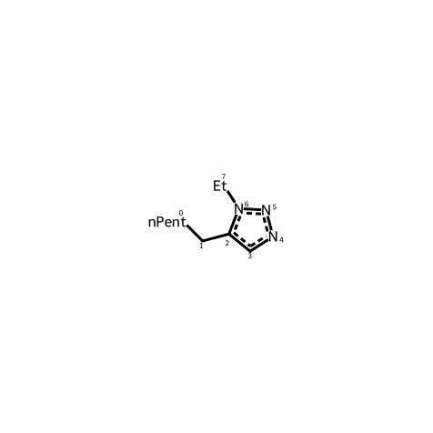 CCCCCCc1cnnn1CC